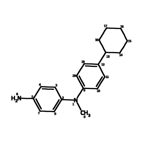 CN(c1ccc(N)cc1)c1ccc(C2CCCCC2)cc1